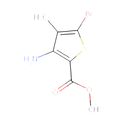 COC(=O)c1sc(Br)c(C)c1N